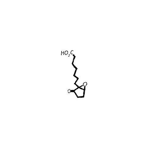 O=C(O)CCCCCCC12OC1CCC2=O